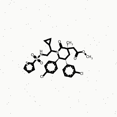 COC(=O)C[C@@]1(C)C[C@H](c2cccc(Cl)c2)[C@@H](c2ccc(Cl)cc2)N(C(CNS(=O)(=O)c2cccs2)C2CC2)C1=O